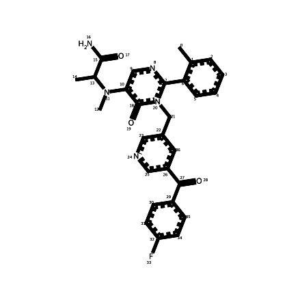 Cc1ccccc1-c1ncc(N(C)C(C)C(N)=O)c(=O)n1Cc1cncc(C(=O)c2ccc(F)cc2)c1